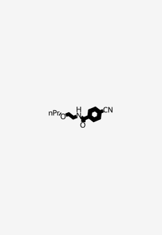 CCCOCCNC(=O)c1ccc(C#N)cc1